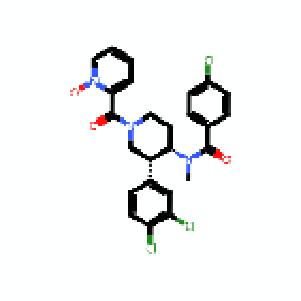 CN(C(=O)c1ccc(Cl)cc1)[C@@H]1CCN(C(=O)c2cccc[n+]2[O-])C[C@H]1c1ccc(Cl)c(Cl)c1